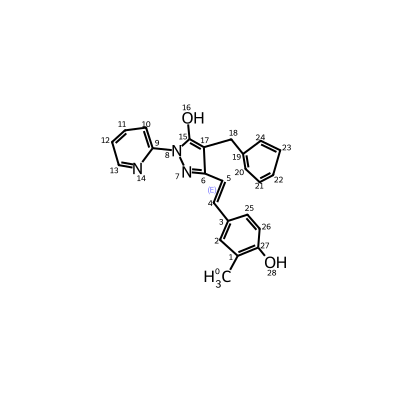 Cc1cc(/C=C/c2nn(-c3ccccn3)c(O)c2Cc2ccccc2)ccc1O